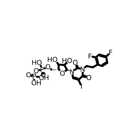 O=c1c(I)cn([C@@H]2O[C@H](COP(=O)(O)OP(=O)(O)O)C(O)C2O)c(=O)n1CCc1ccc(F)cc1F